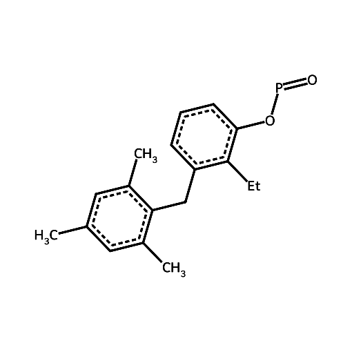 CCc1c(Cc2c(C)cc(C)cc2C)cccc1OP=O